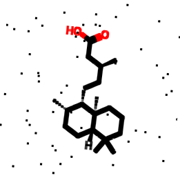 C[C@@H](CC[C@H]1[C@@H](C)CC[C@H]2C(C)(C)CCC[C@]12C)CC(=O)O